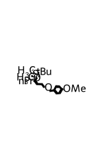 CCCC(=CCCOCc1ccc(OC)cc1)O[Si](C)(C)C(C)(C)C